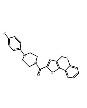 O=C(c1cc2c(s1)-c1ccccc1SC2)N1CCN(c2ccc(F)cc2)CC1